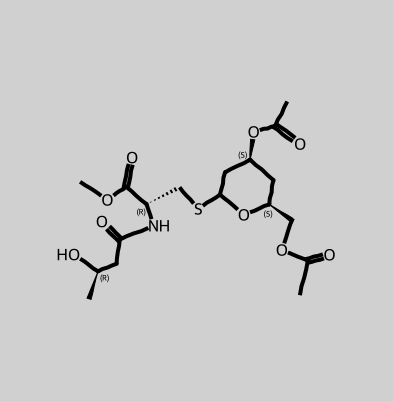 COC(=O)[C@H](CSC1C[C@@H](OC(C)=O)C[C@@H](COC(C)=O)O1)NC(=O)C[C@@H](C)O